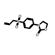 C=CCS(=O)(=O)c1ccc(N2CCOC2=O)cc1